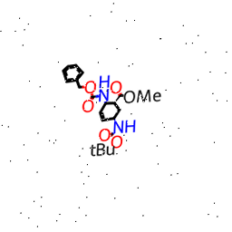 COC(=O)[C@H]1C[C@H](NC(=O)OC(C)(C)C)C=CC1NC(=O)OCc1ccccc1